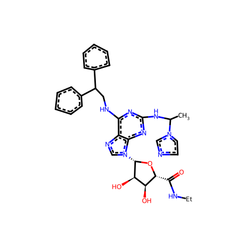 CCNC(=O)[C@H]1O[C@@H](n2cnc3c(NCC(c4ccccc4)c4ccccc4)nc(NC(C)n4ccnc4)nc32)[C@H](O)[C@@H]1O